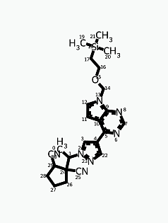 CC(n1cc(-c2ncnc3c2ccn3COCC[Si](C)(C)C)cn1)C1(C#N)CCCC1C#N